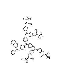 N#C/C(=C\c1ccc(C(=Cc2ccc(N(c3ccc(C=C(c4ccc(/C=C(\C#N)C(=O)O)cc4)c4ccc(/C=C(\C#N)C(=O)O)cc4)cc3)c3ccc(/C=C(/c4ccccc4)c4ccc5ccccc5c4)cc3)cc2)c2ccc(/C=C(\C#N)C(=O)O)cc2)cc1)C(=O)O